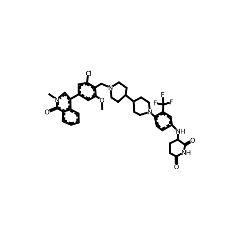 COc1cc(-c2cn(C)c(=O)c3ccccc23)cc(Cl)c1CN1CCC(C2CCN(c3ccc(NC4CCC(=O)NC4=O)cc3C(F)(F)F)CC2)CC1